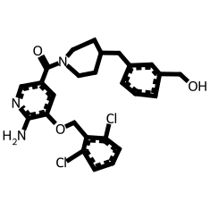 Nc1ncc(C(=O)N2CCC(Cc3cccc(CO)c3)CC2)cc1OCc1c(Cl)cccc1Cl